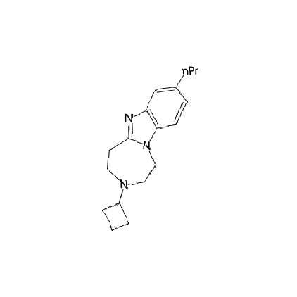 CCCc1ccc2c(c1)nc1n2CCN(C2CCC2)CC1